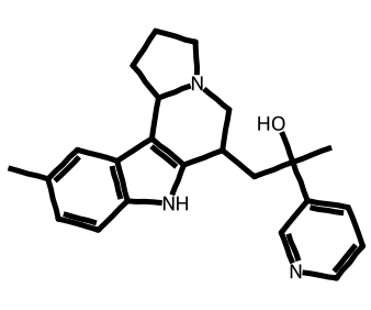 Cc1ccc2[nH]c3c(c2c1)C1CCCN1CC3CC(C)(O)c1cccnc1